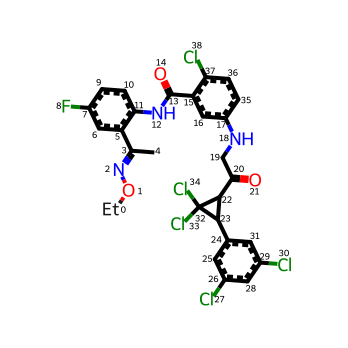 CCO/N=C(\C)c1cc(F)ccc1NC(=O)c1cc(NCC(=O)C2C(c3cc(Cl)cc(Cl)c3)C2(Cl)Cl)ccc1Cl